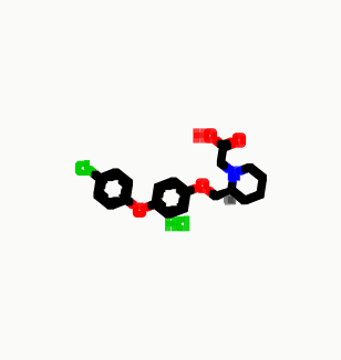 Cl.O=C(O)CN1CCCC[C@H]1COc1ccc(Oc2ccc(Cl)cc2)cc1